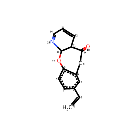 C=Cc1ccc2c(c1)CC(=O)C1C=CC=NC1O2